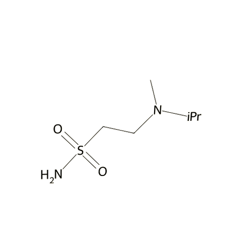 CC(C)N(C)CCS(N)(=O)=O